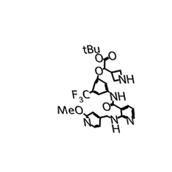 COc1cc(CNc2ncccc2C(=O)Nc2cc(OC(C(=O)OC(C)(C)C)C3CNC3)cc(C(F)(F)F)c2)ccn1